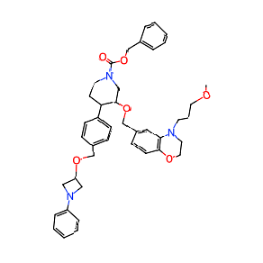 COCCCN1CCOc2ccc(COC3CN(C(=O)OCc4ccccc4)CCC3c3ccc(COC4CN(c5ccccc5)C4)cc3)cc21